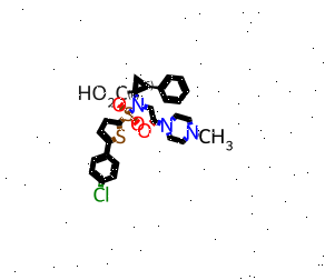 CN1CCN(C(=O)CN([C@]2(C(=O)O)C[C@H]2c2ccccc2)S(=O)(=O)C2CC=C(c3ccc(Cl)cc3)S2)CC1